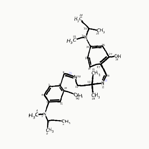 CC(C)N(C)c1ccc(/C=N\CC(C)(C)/N=C\c2ccc(N(C)C(C)C)cc2O)c(O)c1